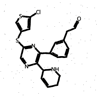 O=CCc1cccc(-c2nc(Sc3csc(Cl)c3)cnc2C2C=CCCN2)c1